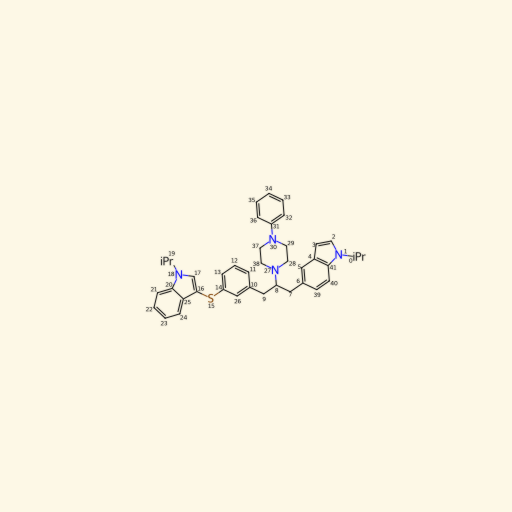 CC(C)n1ccc2cc(CC(Cc3cccc(Sc4cn(C(C)C)c5ccccc45)c3)N3CCN(c4ccccc4)CC3)ccc21